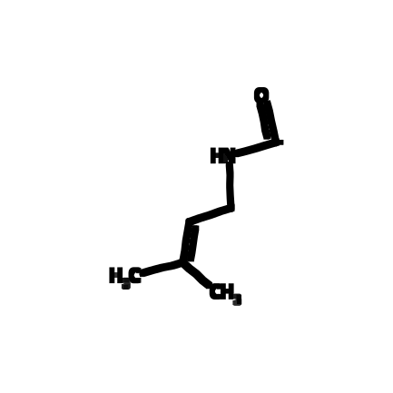 CC(C)=CCN[C]=O